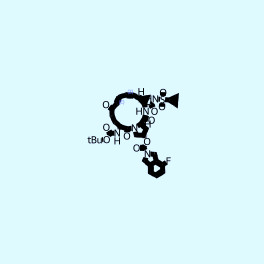 CC(C)(C)OC(=O)N[C@H]1CCC(=O)/C=C/C=C\[C@@H]2C[C@@]2(C(=O)NS(=O)(=O)C2CC2)NC(=O)[C@@H]2C[C@@H](OC(=O)N3Cc4cccc(F)c4C3)CN2C1=O